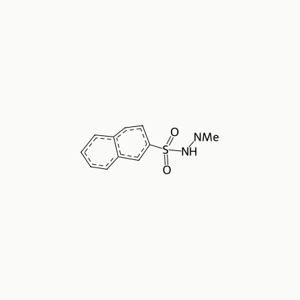 CNNS(=O)(=O)c1ccc2ccccc2c1